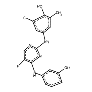 Cc1cc(Nc2ncc(F)c(Nc3cccc(O)c3)n2)cc(Cl)c1O